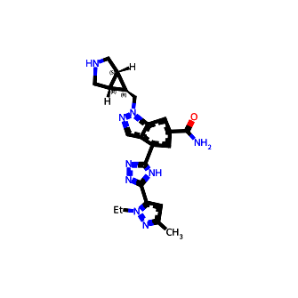 CCn1nc(C)cc1-c1nnc(-c2cc(C(N)=O)cc3c2cnn3C[C@H]2[C@@H]3CNC[C@@H]32)[nH]1